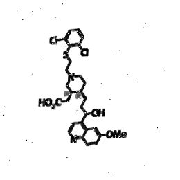 COc1ccc2nccc(C(O)CC[C@@H]3CCN(CCSc4c(Cl)cccc4Cl)C[C@@H]3CC(=O)O)c2c1